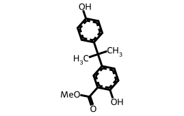 COC(=O)c1cc(C(C)(C)c2ccc(O)cc2)ccc1O